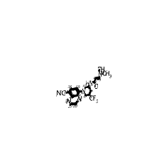 CN(C)C=CC(=O)N[C@@H]1C[C@H](C(F)(F)F)CN(c2ccc(C#N)c3nccnc23)C1